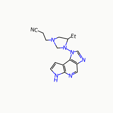 CCC1CN(CCC#N)CN1n1cnc2cnc3[nH]ccc3c21